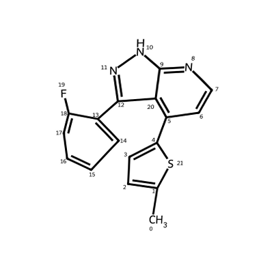 Cc1ccc(-c2ccnc3[nH]nc(-c4ccccc4F)c23)s1